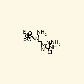 CCOP(=O)(CCN(CCN)CCn1cnc2c1N=C(N)NC2Cl)OCC